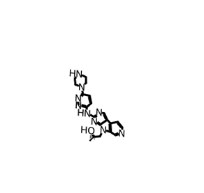 C[C@@H](O)Cn1c2cnccc2c2cnc(Nc3ccc(N4CCNCC4)nn3)nc21